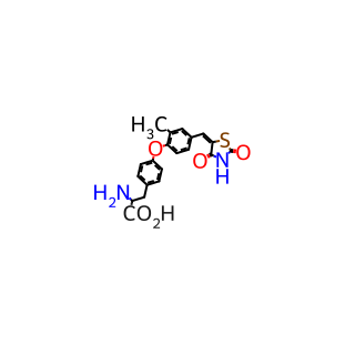 Cc1cc(/C=C2/SC(=O)NC2=O)ccc1Oc1ccc(CC(N)C(=O)O)cc1